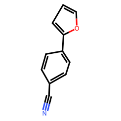 N#Cc1ccc(-c2ccco2)cc1